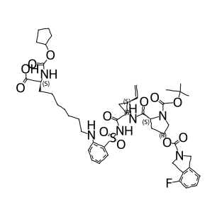 C=C[C@@H]1C[C@]1(NC(=O)[C@@H]1C[C@@H](OC(=O)N2Cc3cccc(F)c3C2)CN1C(=O)OC(C)(C)C)C(=O)NS(=O)(=O)c1ccccc1NCCCCCCC[C@H](NC(=O)OC1CCCC1)C(=O)O